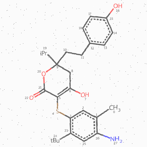 Cc1cc(SC2=C(O)CC(CCc3ccc(O)cc3)(C(C)C)OC2=O)c(C(C)(C)C)cc1N